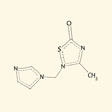 Cc1nc(=O)sn1Cn1ccnc1